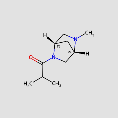 CC(C)C(=O)N1C[C@@H]2C[C@H]1CN2C